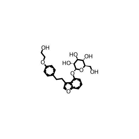 OCCOc1ccc(CCc2coc3cccc(O[C@@H]4O[C@H](CO)[C@@H](O)[C@H](O)[C@H]4O)c23)cc1